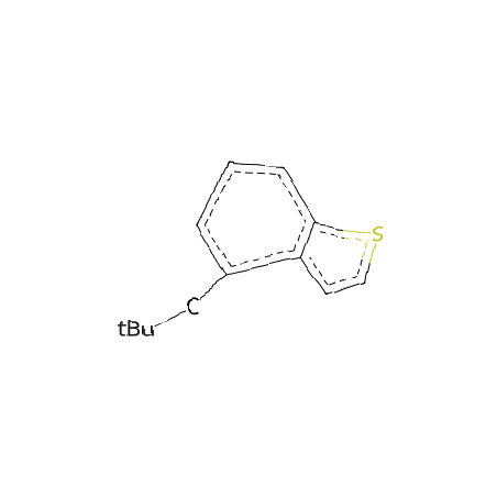 CC(C)(C)Cc1cccc2sccc12